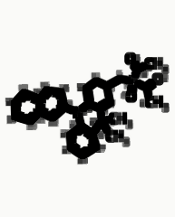 CC(=O)P(=O)(CC1C=C2C(=CC1)N(c1ccc3ccccc3c1)c1ccccc1C2(C)C)C(C)=O